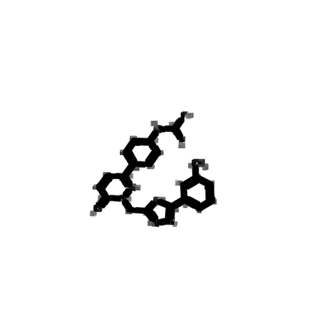 Cc1cccc(-c2nnc(Cn3nc(-c4ccc(OC(F)F)cc4)ccc3=O)s2)c1